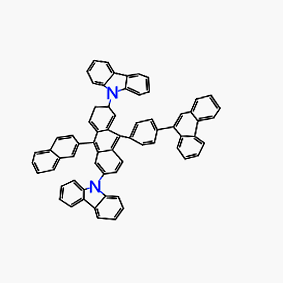 C1=c2c(-c3ccc(-c4cc5ccccc5c5ccccc45)cc3)c3ccc(-n4c5ccccc5c5ccccc54)cc3c(-c3ccc4ccccc4c3)c2=CCC1n1c2ccccc2c2ccccc21